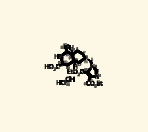 CCOC(=O)c1ncn(C[C@H]2CC[C@H]3C(CC)N[C@H](C(=O)O)C[C@H]3C2)c1C(=O)OCC.Cl.Cl